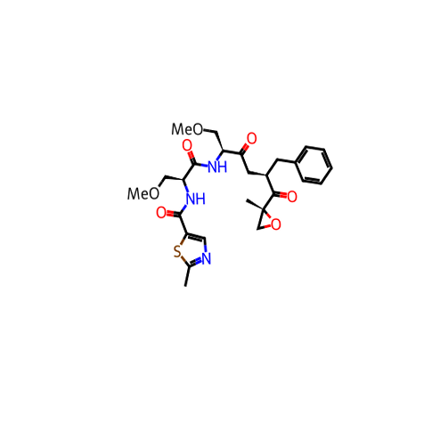 COC[C@H](NC(=O)[C@H](COC)NC(=O)c1cnc(C)s1)C(=O)C[C@@H](Cc1ccccc1)C(=O)[C@@]1(C)CO1